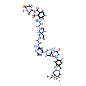 CC1(C)CCN(Cc2cc(F)c(N3CC(=O)NC4(CCN(c5cc(NCCN6CC[C@@]7(CCN(CCNc8cccc9c8C(=O)N(C8CCC(=O)NC8=O)C9=O)C7)C6)ncn5)CC4)C3)cc2F)CC1